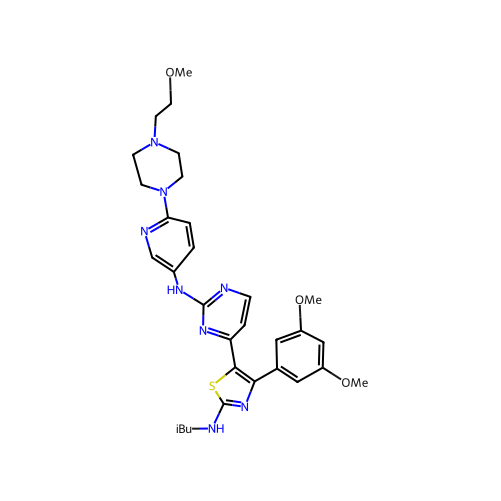 CCC(C)Nc1nc(-c2cc(OC)cc(OC)c2)c(-c2ccnc(Nc3ccc(N4CCN(CCOC)CC4)nc3)n2)s1